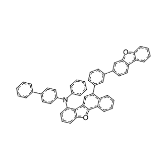 c1ccc(-c2ccc(N(c3ccccc3)c3cccc4oc5c6ccccc6c(-c6cccc(-c7ccc8c(c7)oc7ccccc78)c6)cc5c34)cc2)cc1